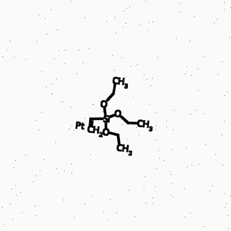 C=C[Si](OCC)(OCC)OCC.[Pt]